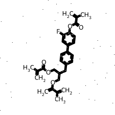 C=C(C)C(=C)OCC(COC(=O)C(=C)C)Cc1ccc(-c2ccc(OC(=O)C(=C)C)c(F)c2)cc1